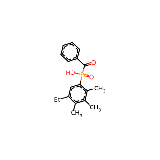 CCc1cc(P(=O)(O)C(=O)c2ccccc2)c(C)c(C)c1C